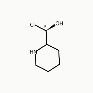 O[C@H](Cl)C1CCCCN1